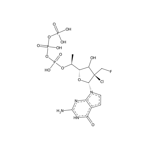 C[C@H](OP(=O)(O)OP(=O)(O)OP(=O)(O)O)[C@H]1O[C@@H](n2ccc3c(=O)[nH]c(N)nc32)[C@@](Cl)(CF)C1O